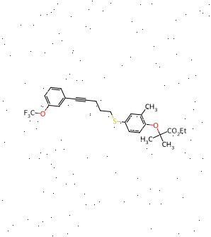 CCOC(=O)C(C)(C)Oc1ccc(SCCCC#Cc2cccc(OC(F)(F)F)c2)cc1C